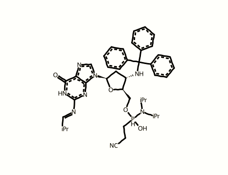 CC(C)C=Nc1nc2c(ncn2[C@H]2C[C@H](NC(c3ccccc3)(c3ccccc3)c3ccccc3)[C@@H](CO[PH](O)(CCC#N)N(C(C)C)C(C)C)O2)c(=O)[nH]1